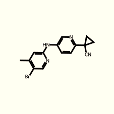 Cc1cc(Nc2ccc(C3(C#N)CC3)nc2)ncc1Br